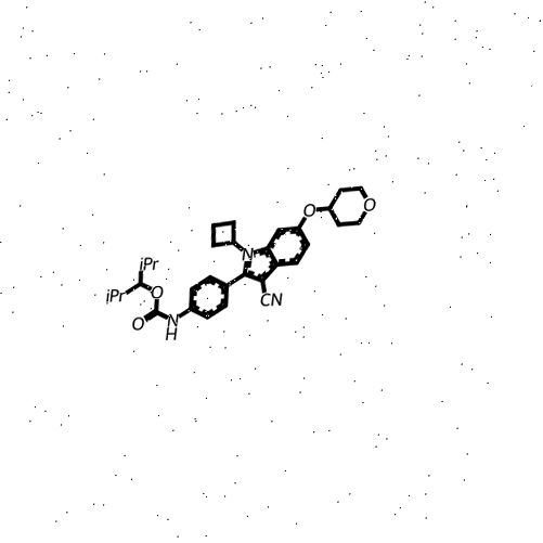 CC(C)C(OC(=O)Nc1ccc(-c2c(C#N)c3ccc(OC4CCOCC4)cc3n2C2CCC2)cc1)C(C)C